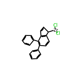 [Cl][Zr]([Cl])[CH]1C=Cc2c1ccc(-c1ccccc1)c2-c1ccccc1